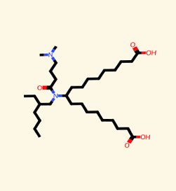 CCCCC(CC)CN(C(=O)CCCN(C)C)C(CCCCCCCCC(=O)O)CCCCCCCCC(=O)O